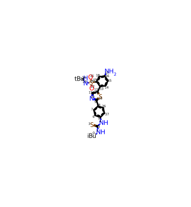 CCC(C)NC(=S)Nc1ccc(-c2ncc(-c3ccc(N)cc3S(=O)(=O)NC(C)(C)C)s2)cc1